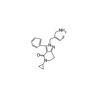 NCC(=CF)Cn1nc2c(c1-c1ccccc1)C(=O)N(C1CC1)CC2